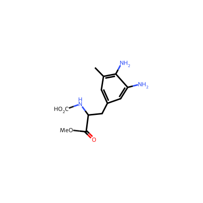 COC(=O)C(Cc1cc(C)c(N)c(N)c1)NC(=O)O